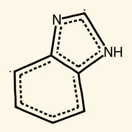 [c]1nc2[c]cccc2[nH]1